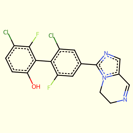 Oc1ccc(Cl)c(F)c1-c1c(F)cc(-c2ncc3n2CCN=C3)cc1Cl